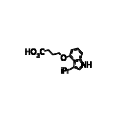 CC(C)c1c[nH]c2cccc(OCCCC(=O)O)c12